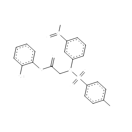 Cc1ccc(S(=O)(=O)N(CC(=O)Nc2ccccc2N)c2cccc([N+](=O)[O-])c2)cc1